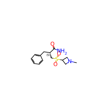 CN1CC(S(=O)(=O)C[C@@H](Cc2ccccc2)C(N)=O)C1